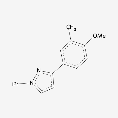 COc1ccc(-c2ccn(C(C)C)n2)cc1C